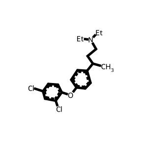 CCN(CC)CCC(C)c1ccc(Oc2ccc(Cl)cc2Cl)cc1